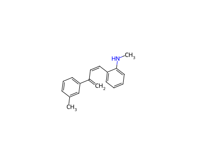 C=C(/C=C\c1ccccc1NC)c1cccc(C)c1